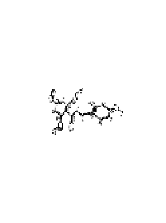 COc1ccc(CCC(=O)c2c(OC)cc(OC)cc2OC)cc1